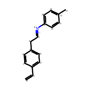 C=Cc1ccc(C/C=N/c2ccc(C)cc2)cc1